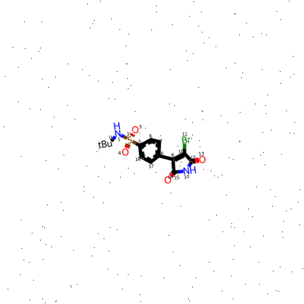 CC(C)(C)NS(=O)(=O)c1ccc(C2=C(Br)C(=O)NC2=O)cc1